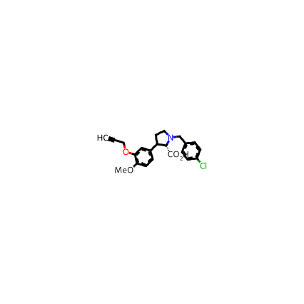 C#CCOc1cc(C2CCN(Cc3ccc(Cl)cc3)[C@@H]2C(=O)O)ccc1OC